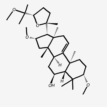 CO[C@H]1C[C@@]2(C)[C@@H]3C[C@H](O)[C@H]4C(C)(C)[C@@H](OC)CC[C@]4(C)C3=CC[C@]2(C)[C@H]1[C@@]1(C)CC[C@@H](C(C)(C)OC)O1